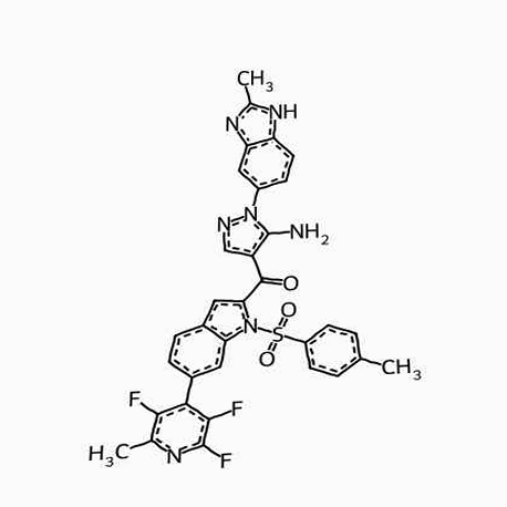 Cc1ccc(S(=O)(=O)n2c(C(=O)c3cnn(-c4ccc5[nH]c(C)nc5c4)c3N)cc3ccc(-c4c(F)c(C)nc(F)c4F)cc32)cc1